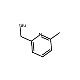 Cc1cccc(CC(C)(C)C)n1